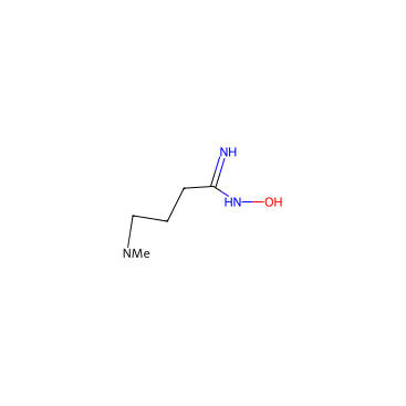 CNCCCC(=N)NO